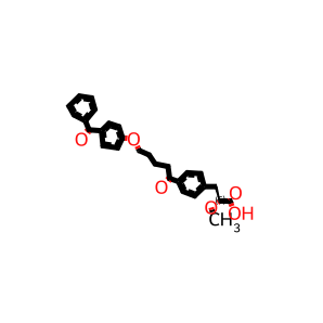 CO[C@@H](Cc1ccc(C(=O)CCCCOc2ccc(C(=O)c3ccccc3)cc2)cc1)C(=O)O